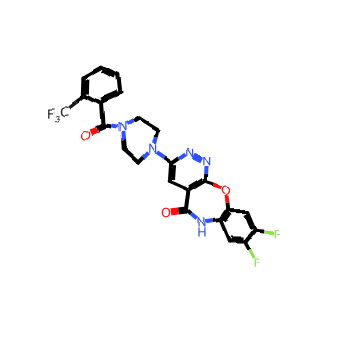 O=C1Nc2cc(F)c(F)cc2Oc2nnc(N3CCN(C(=O)c4ccccc4C(F)(F)F)CC3)cc21